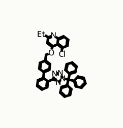 CCc1cc(OCc2ccc(-c3ccccc3-c3nnn(C(c4ccccc4)(c4ccccc4)c4ccccc4)n3)cc2)c2c(Cl)cccc2n1